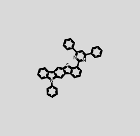 c1ccc(-c2cc(-c3ccccc3)nc(-c3cccc4c3sc3cc5c6ccccc6n(-c6ccccc6)c5cc34)n2)cc1